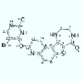 O=C1NCCNc2c1sc1ccc3nc(Oc4nc(Cl)ncc4Br)ccc3c21